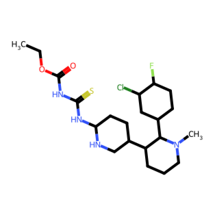 CCOC(=O)NC(=S)NC1CCC(C2CCCN(C)C2C2CCC(F)C(Cl)C2)CN1